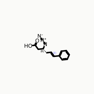 [N-]=[N+]=N[C@H](C/C=C/c1ccccc1)CC(=O)O